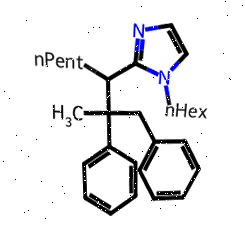 CCCCCCn1ccnc1C(CCCCC)C(C)(Cc1ccccc1)c1ccccc1